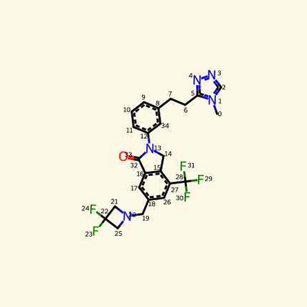 Cn1cnnc1CCc1cccc(N2Cc3c(cc(CN4CC(F)(F)C4)cc3C(F)(F)F)C2=O)c1